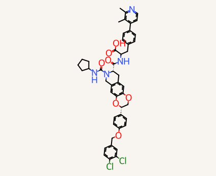 Cc1nccc(-c2ccc(CC(NC(=O)[C@@H]3Cc4cc5c(cc4CN3C(=O)NC3CCCC3)O[C@@H](c3ccc(OCc4ccc(Cl)c(Cl)c4)cc3)CO5)C(=O)O)cc2)c1C